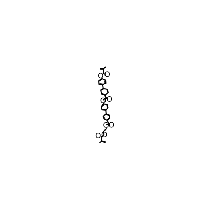 C=C(C)C(=O)OCCOC(=O)c1ccc(-c2ccc(OC(=O)c3ccc(-c4ccc(OC(=O)C(=C)C)cc4)cc3)cc2)cc1